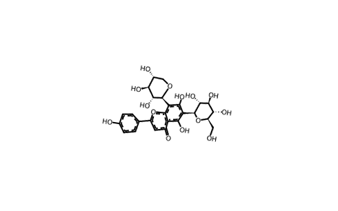 O=c1cc(-c2ccc(O)cc2)oc2c([C@@H]3OC[C@@H](O)[C@H](O)[C@H]3O)c(O)c([C@@H]3O[C@H](CO)[C@@H](O)[C@H](O)[C@H]3O)c(O)c12